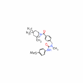 CSc1ccc(NC(=O)N(C)Cc2ccc(C(=O)N3CC4(C)CC3CC(C)(C)C4)cc2)cc1